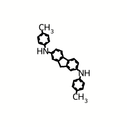 Cc1ccc(Nc2ccc3c(c2)Cc2cc(Nc4ccc(C)cc4)ccc2-3)cc1